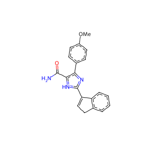 COc1ccc(-c2nc(C3=CCc4ccccc43)[nH]c2C(N)=O)cc1